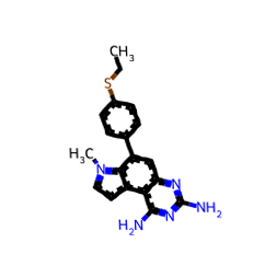 CCSc1ccc(-c2cc3nc(N)nc(N)c3c3ccn(C)c23)cc1